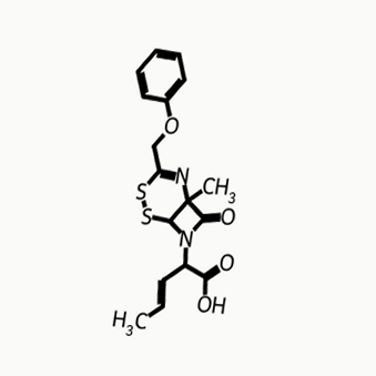 CC=CC(C(=O)O)N1C(=O)C2(C)N=C(COc3ccccc3)SSC12